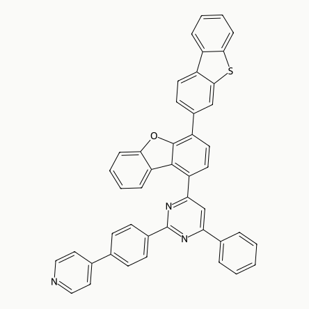 c1ccc(-c2cc(-c3ccc(-c4ccc5c(c4)sc4ccccc45)c4oc5ccccc5c34)nc(-c3ccc(-c4ccncc4)cc3)n2)cc1